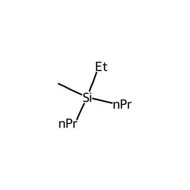 CCC[Si](C)(CC)CCC